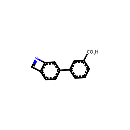 O=C(O)c1cccc(-c2ccc3c(c2)N=C3)c1